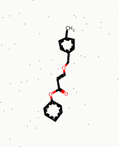 Cc1ccc(CO/C=C/C(=O)Oc2ccccc2)cc1